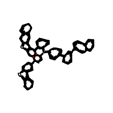 c1cc(-c2ccc(N(c3ccc(-c4ccc5oc6ccccc6c5c4)cc3)c3ccccc3-c3cccc4oc5cc6ccccc6cc5c34)cc2)cc(-c2ccc3ccccc3c2)c1